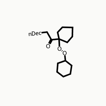 CCCCCCCCCCCC(=O)C1(OOC2CCCCC2)CCCCC1